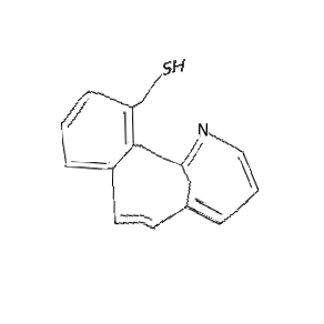 Sc1cccc2ccc3cccnc3c12